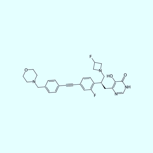 O=c1[nH]cnc(C[C@H](CN2CC(F)C2)c2ccc(C#Cc3ccc(CN4CCOCC4)cc3)cc2F)c1O